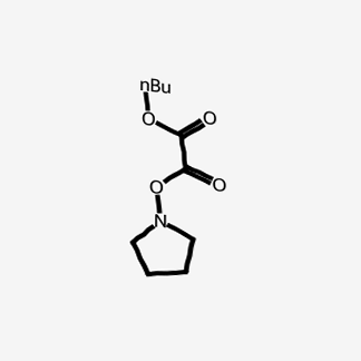 CCCCOC(=O)C(=O)ON1CCCC1